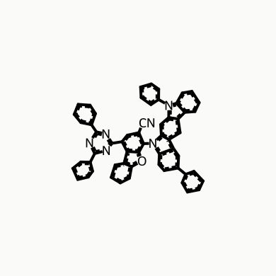 N#Cc1cc(-c2nc(-c3ccccc3)nc(-c3ccccc3)n2)c2c(oc3ccccc32)c1-n1c2ccc(-c3ccccc3)cc2c2cc3c4ccccc4n(-c4ccccc4)c3cc21